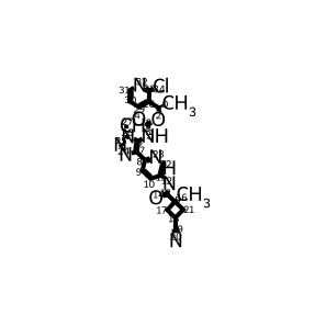 C[C@@H](OC(=O)Nc1c(-c2ccc(NC(=O)C3(C)CC(C#N)C3)cn2)nnn1C)c1cccnc1Cl